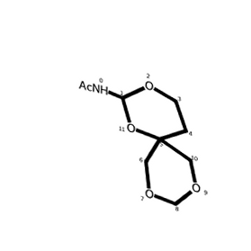 CC(=O)NC1OCCC2(COCOC2)O1